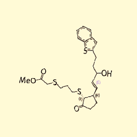 COC(=O)CSCCCS[C@H]1C(=O)CC[C@@H]1/C=C/C(O)CCc1cc2ccccc2s1